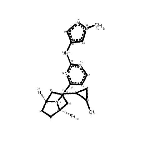 CC1CC1CN1[C@@H]2CC[C@H]1CN(c1ccnc(Nc3cnn(C)c3)n1)C2